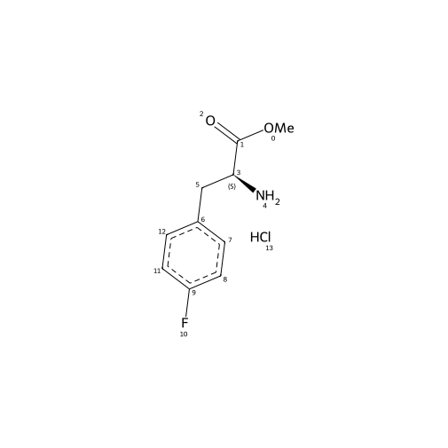 COC(=O)[C@@H](N)Cc1ccc(F)cc1.Cl